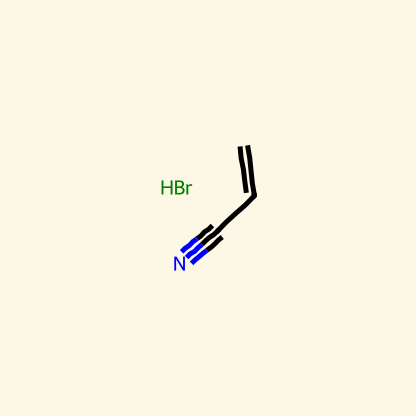 Br.C=CC#N